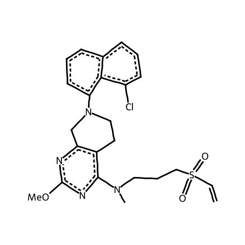 C=CS(=O)(=O)CCCN(C)c1nc(OC)nc2c1CCN(c1cccc3cccc(Cl)c13)C2